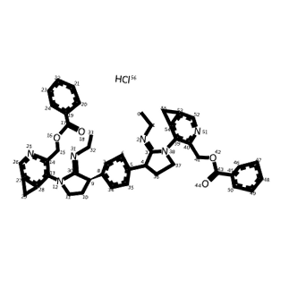 CCN=C1C(c2ccc([C@H]3CCN(c4c(COC(=O)c5ccccc5)ncc5c4C5)C3=NCC)cc2)CCN1c1c(COC(=O)c2ccccc2)ncc2c1C2.Cl